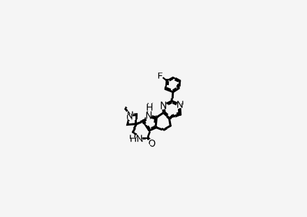 CN1CC2(CNC(=O)c3c2[nH]c2c3CCc3cnc(-c4cccc(F)c4)nc3-2)C1